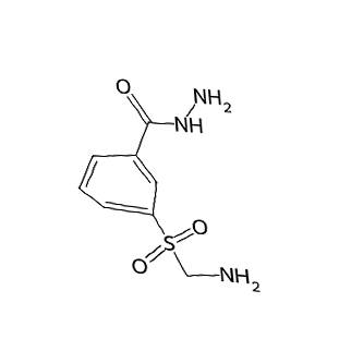 NCS(=O)(=O)c1cccc(C(=O)NN)c1